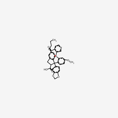 CCCOc1ccc2c(c1)CC(C(=O)O)C2(c1ccc2c(c1)OCO2)c1ccc(OC)cc1Oc1cnccc1C=O